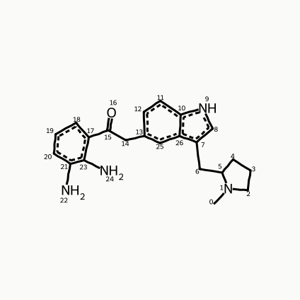 CN1CCCC1Cc1c[nH]c2ccc(CC(=O)c3cccc(N)c3N)cc12